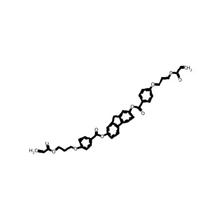 C=CC(=O)OCCCOc1ccc(C(=O)Oc2ccc3c(c2)Cc2cc(OC(=O)c4ccc(OCCCOC(=O)C=C)cc4)ccc2-3)cc1